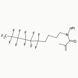 C=C(C)C(=O)N(CCC)CCCCC(F)(F)C(F)(F)C(F)(F)C(F)(F)C(F)(F)C(F)(F)F